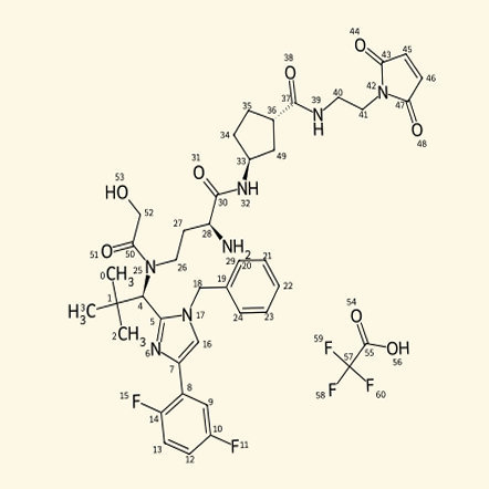 CC(C)(C)[C@H](c1nc(-c2cc(F)ccc2F)cn1Cc1ccccc1)N(CC[C@H](N)C(=O)N[C@H]1CC[C@H](C(=O)NCCN2C(=O)C=CC2=O)C1)C(=O)CO.O=C(O)C(F)(F)F